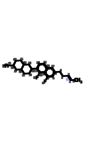 C/C=C/CCc1cc(F)c2c(F)c(C3CCC4CC(CCC)CCC4C3)ccc2c1